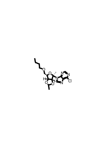 CCCCOC[C@H]1O[C@@](C)(n2cnc3c(Cl)ncnc32)[C@@H]2OC(C)O[C@@H]21